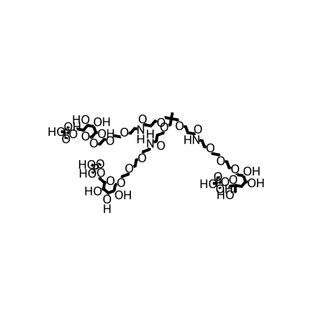 CC(COCCC(=O)NCCOCCOCCOC1OC(CO)(COP(=O)(O)O)CC(O)C1O)(COCCC(=O)NCCOCCOCCOC1OC(COP(=O)(O)O)C(O)C(O)C1O)COCCC(=O)NCCOCCOCCOC1OC(COP(=O)(O)O)C(O)C(O)C1O